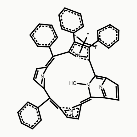 ON1C2=C3C=CC(=N3)C1=c1ccc([nH]1)=C(c1ccccc1)C1=NC(=C(c3ccccc3)c3c(-c4ccccc4)c(-c4ccccc4)c2n3C(F)(F)F)C=C1